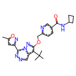 Cc1cc(-c2nncc3c(C(C)(C)C)c(OCc4ccc(C(=O)NC5CCC5)cn4)nn23)no1